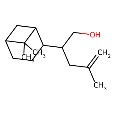 C=C(C)CC(CO)C1CCC2CC1C2(C)C